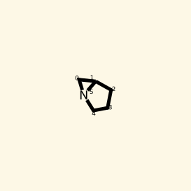 [CH]1C2CCCN12